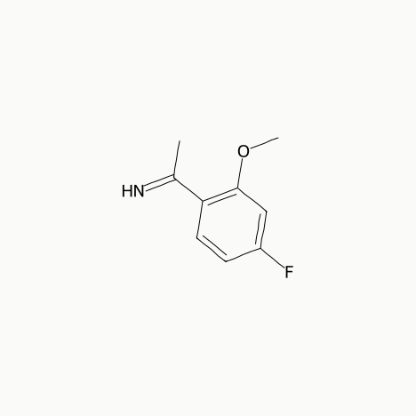 COc1cc(F)ccc1C(C)=N